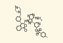 Cc1ccc(S(=O)(=O)Oc2cncc(-c3nn([C@@H](C)c4oc(=O)c5ccccc5c4-c4cccc(CN5CCN(C)CC5)c4)c4ncnc(N)c34)c2)cc1